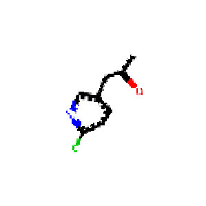 CC(=O)Cc1ccc(Cl)nc1